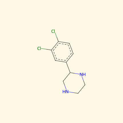 Clc1ccc(C2CNCCN2)cc1Cl